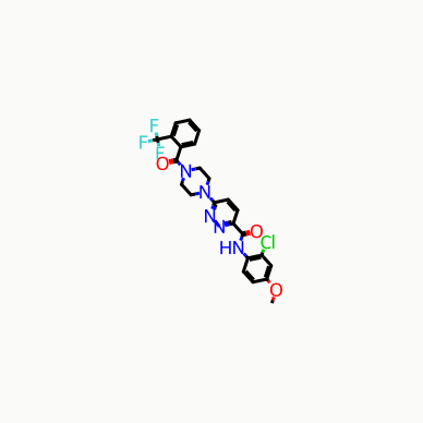 COc1ccc(NC(=O)c2ccc(N3CCN(C(=O)c4ccccc4C(F)(F)F)CC3)nn2)c(Cl)c1